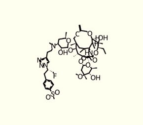 C=C1CC[C@]2(C)C[C@@H](C)/C(=N\C(C)=O)[C@H](C)[C@@H](OC1)[C@](C)(O)[C@@H](CC)OC(=O)[C@H](C)[C@@H](O[C@H]1C[C@@](C)(OC)[C@@H](O)[C@H](C)O1)[C@H](C)[C@H]2O[C@@H]1O[C@H](C)C[C@H](N(C)CCc2cn([C@H](CF)Cc3ccc(S(C)(=O)=O)cc3)nn2)[C@H]1O